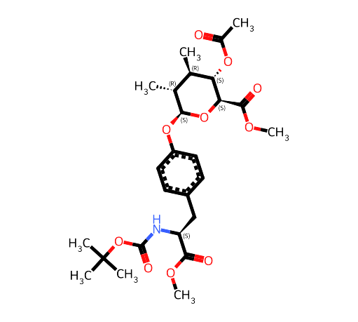 COC(=O)[C@H](Cc1ccc(O[C@@H]2O[C@H](C(=O)OC)[C@@H](OC(C)=O)[C@H](C)[C@H]2C)cc1)NC(=O)OC(C)(C)C